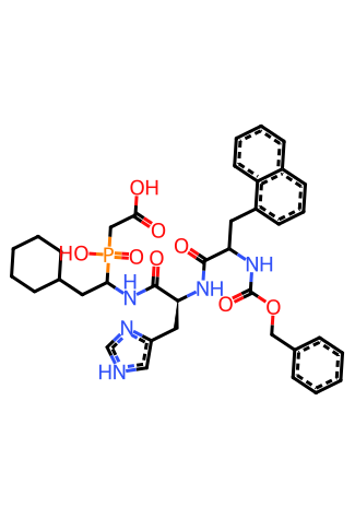 O=C(O)CP(=O)(O)C(CC1CCCCC1)NC(=O)[C@H](Cc1c[nH]cn1)NC(=O)C(Cc1cccc2ccccc12)NC(=O)OCc1ccccc1